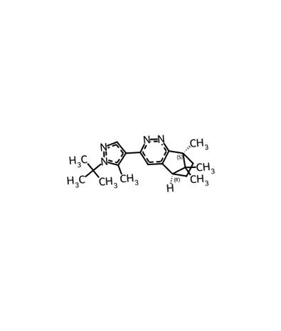 Cc1c(-c2cc3c(nn2)[C@@]2(C)CC[C@@H]3C2(C)C)cnn1C(C)(C)C